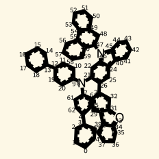 c1ccc(-c2ccc(N(c3ccc(-c4ccccc4)cc3)c3cc4c(cc3-c3ccc5c(c3)oc3ccccc35)c3ccccc3n4-c3cc4ccccc4c4ccccc34)cc2)cc1